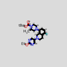 CCOc1ncc(N2CCc3c(F)ccc(N4CCN(C(=O)OC(C)(C)C)C(C)C4)c3C2)cn1